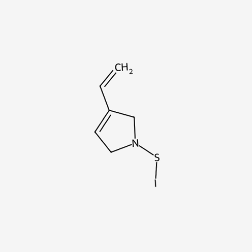 C=CC1=CCN(SI)C1